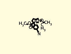 CCOC(=O)C1(c2ccc(C#N)cc2Cl)CCC2=CN(OC(C)C)CN21